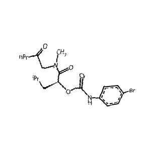 CCCC(=O)CN(C)C(=O)[C@H](CC(C)C)OC(=O)Nc1ccc(Br)cc1